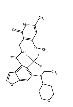 CCN(c1cc2occc2c(C(=O)NCc2c(OC)cc(C)[nH]c2=O)c1C(F)(F)F)C1CCOCC1